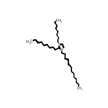 CCCCCCCCCCCCC[n+]1ccn(CCCCCCCC)c1CCCCCCCCC